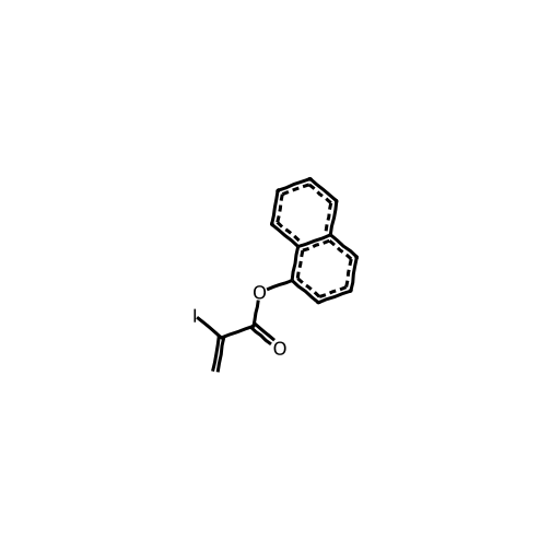 C=C(I)C(=O)Oc1cccc2ccccc12